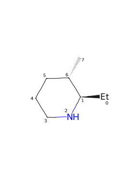 CC[C@H]1NCCC[C@@H]1C